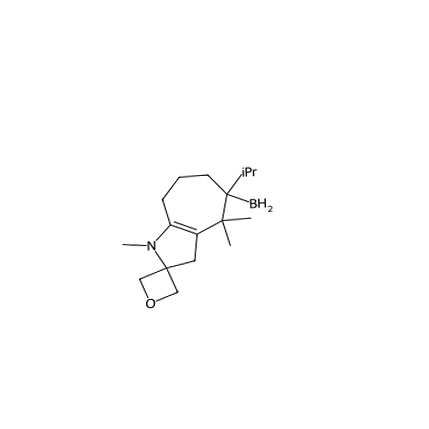 BC1(C(C)C)CCCC2=C(CC3(COC3)N2C)C1(C)C